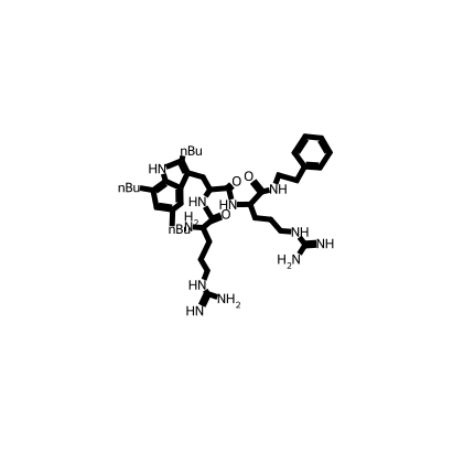 CCCCc1cc(CCCC)c2[nH]c(CCCC)c(CC(NC(=O)C(N)CCCNC(=N)N)C(=O)NC(CCCNC(=N)N)C(=O)NCCc3ccccc3)c2c1